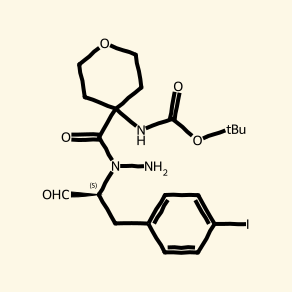 CC(C)(C)OC(=O)NC1(C(=O)N(N)[C@H](C=O)Cc2ccc(I)cc2)CCOCC1